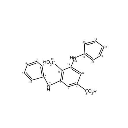 O=C(O)c1cc(Nc2ccccc2)c(C(=O)O)c(Nc2ccccc2)c1